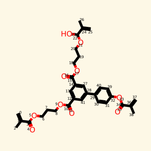 C=C(C)C(=O)OCCCOC(=O)c1cc(C(=O)OCCCOC(O)C(=C)C)cc(-c2ccc(OC(=O)C(=C)C)cc2)c1